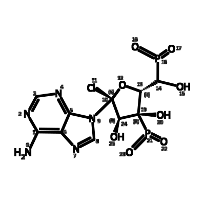 Nc1ncnc2c1ncn2[C@]1(Cl)O[C@H](C(O)P(=O)=O)[C@](O)(P(=O)=O)[C@H]1O